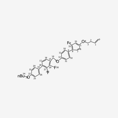 C=CCCOc1ccc(-c2ccc(OCc3ccc(-c4ccc(OCCCC)cc4)c(F)c3F)cc2)c(F)c1